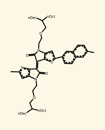 CCCCCCCCCCC(CCCCCCCC)COCCN1C(=O)/C(=C2/C(=O)N(CCOCC(CCCCCCCC)CCCCCCCCCC)c3cc(-c4ccc5cc(C)ccc5c4)sc32)c2sc(C)cc21